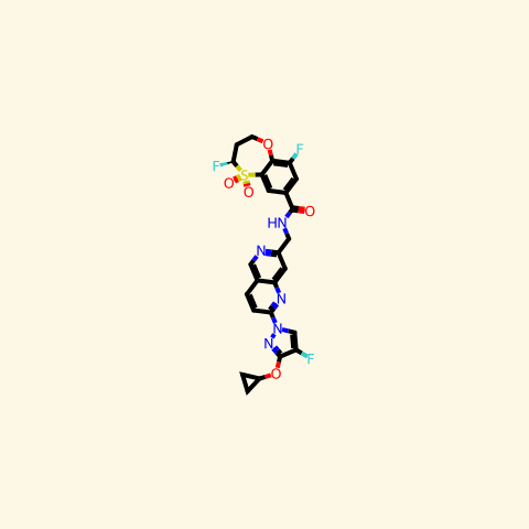 O=C(NCc1cc2nc(-n3cc(F)c(OC4CC4)n3)ccc2cn1)c1cc(F)c2c(c1)S(=O)(=O)[C@@H](F)CCO2